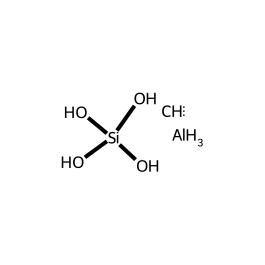 O[Si](O)(O)O.[AlH3].[CH]